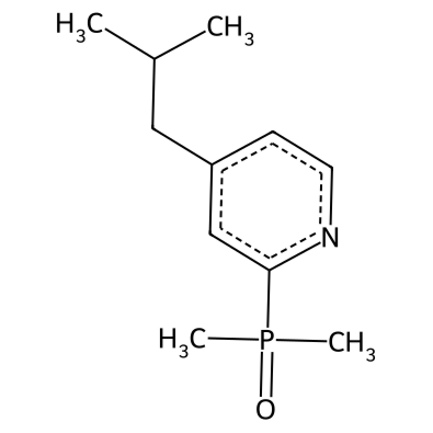 CC(C)Cc1ccnc(P(C)(C)=O)c1